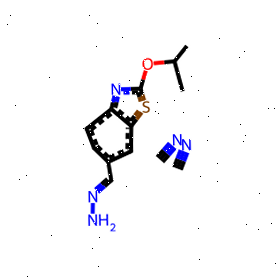 C#N.C#N.CC(C)Oc1nc2ccc(C=NN)cc2s1